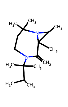 C=C1N(C(C)(C)C(C)C)CCC(C)(C)N2C(C)C12C